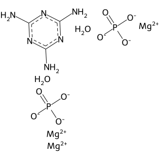 Nc1nc(N)nc(N)n1.O.O.O=P([O-])([O-])[O-].O=P([O-])([O-])[O-].[Mg+2].[Mg+2].[Mg+2]